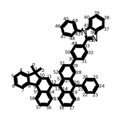 CC1(C)c2ccccc2-c2c1cc(-c1c3ccccc3c(-c3ccccc3)c3cc(-c4ccc(-c5nc6ccccc6n5-c5ccccc5)cc4)ccc13)c1ccccc21